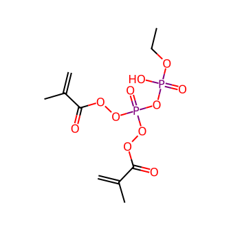 C=C(C)C(=O)OOP(=O)(OOC(=O)C(=C)C)OP(=O)(O)OCC